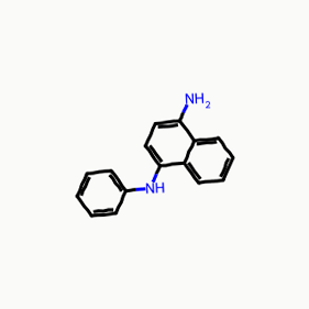 Nc1ccc(Nc2ccccc2)c2ccccc12